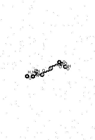 Nc1ncnc2c1c(-c1ccc(Oc3ccccc3)cc1)nn2[C@@H]1CCCN(C(=O)CCCN2CCN(CCCNc3cccc4c3C(=O)N(C3CCC(=O)NC3=O)C4=O)CC2)C1